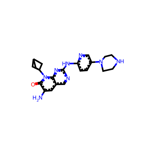 Nc1cc2cnc(Nc3ccc(N4CCNCC4)cn3)nc2n(C23CC(C2)C3)c1=O